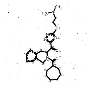 CN(C)CCSc1nnc(C(=O)C2Cc3ccccc3CN2C(=O)C2CCCCCC2)o1